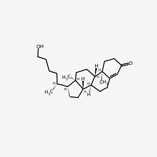 C[C@H](CCCCO)[C@H]1CC[C@H]2[C@@H]3CCC4=CC(=O)CC[C@]4(C)[C@H]3CC[C@]12C